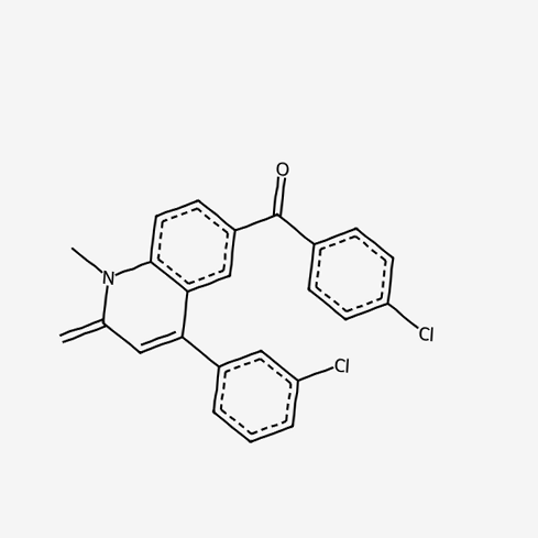 C=C1C=C(c2cccc(Cl)c2)c2cc(C(=O)c3ccc(Cl)cc3)ccc2N1C